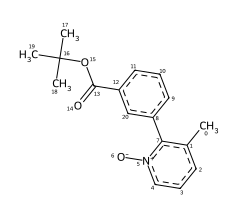 Cc1ccc[n+]([O-])c1-c1cccc(C(=O)OC(C)(C)C)c1